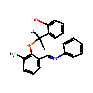 CCC(CC)(Pc1c(C)cccc1/C=N/c1ccccc1)c1ccccc1O